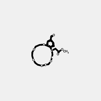 COC(=O)CN1CCOCCOCCOCCOCCOc2cc(C=O)ccc21